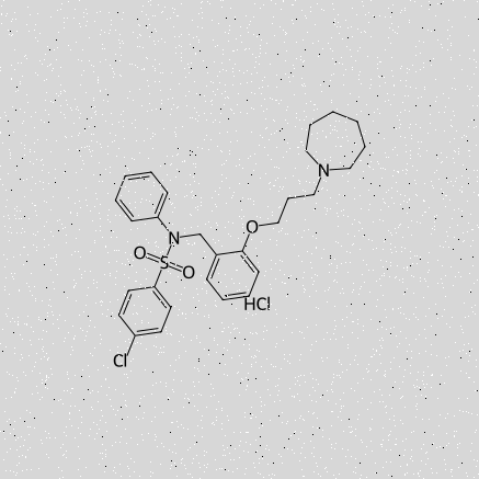 Cl.O=S(=O)(c1ccc(Cl)cc1)N(Cc1ccccc1OCCCN1CCCCCC1)c1ccccc1